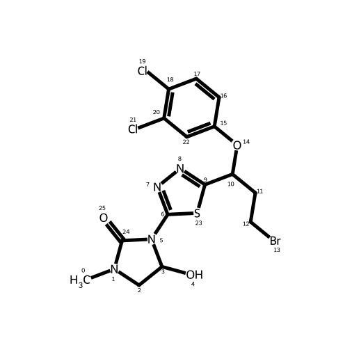 CN1CC(O)N(c2nnc(C(CCBr)Oc3ccc(Cl)c(Cl)c3)s2)C1=O